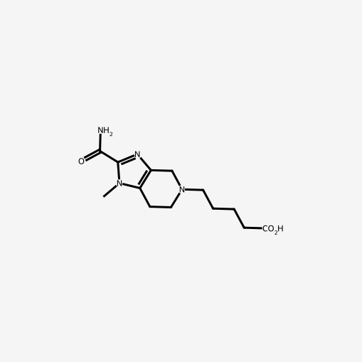 Cn1c(C(N)=O)nc2c1CCN(CCCCC(=O)O)C2